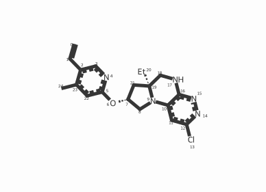 C=Cc1cnc(O[C@H]2CN3c4cc(Cl)nnc4NC[C@]3(CC)C2)cc1C